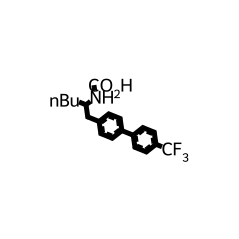 CCCCC(Cc1ccc(-c2ccc(C(F)(F)F)cc2)cc1)NC(=O)O